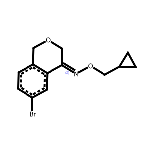 Brc1ccc2c(c1)/C(=N/OCC1CC1)COC2